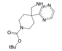 CC(C)(C)OC(=O)N1CCC(CN)(c2cnccn2)CC1